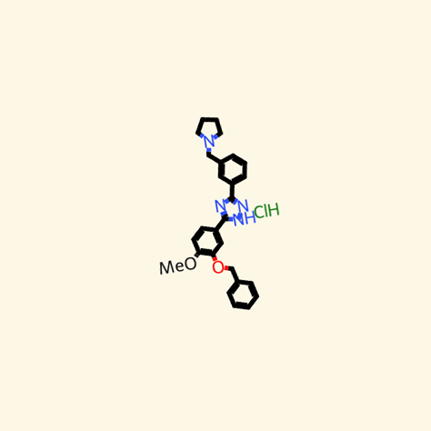 COc1ccc(-c2nc(-c3cccc(CN4CCCC4)c3)n[nH]2)cc1OCc1ccccc1.Cl